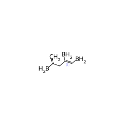 B/C=C(\B)CC(B)=C